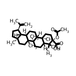 C=C(C)[C@@H]1CC[C@]2(C)CC[C@]3(C)[C@H](CC[C@@H]4[C@@]5(C)CC[C@@](OC(C)=O)(C(=O)O)C(C)(C)[C@@H]5CC[C@]43C)[C@@H]12